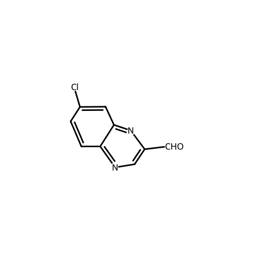 O=Cc1cnc2ccc(Cl)cc2n1